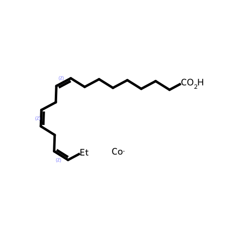 CC/C=C\C/C=C\C/C=C\CCCCCCCC(=O)O.[Co]